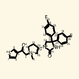 C[N+]1(CC(=O)c2ccsc2)CC[C@H](N2CC(c3ccc(F)cc3)(c3ccc(F)cc3)NC2=O)C1